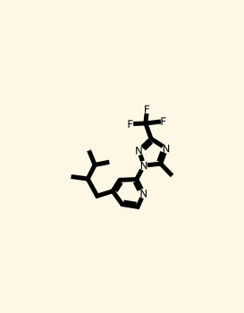 Cc1nc(C(F)(F)F)nn1-c1cc(CC(C)C(C)C)ccn1